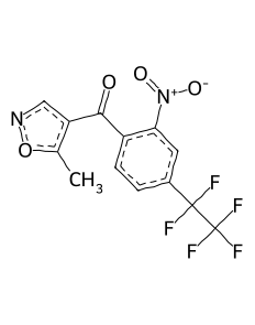 Cc1oncc1C(=O)c1ccc(C(F)(F)C(F)(F)F)cc1[N+](=O)[O-]